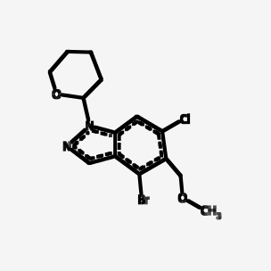 COCc1c(Cl)cc2c(cnn2C2CCCCO2)c1Br